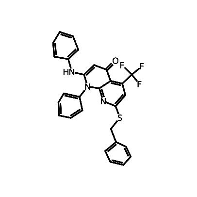 O=c1cc(Nc2ccccc2)n(-c2ccccc2)c2nc(SCc3ccccc3)cc(C(F)(F)F)c12